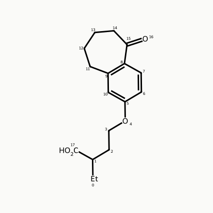 CCC(CCOc1ccc2c(c1)CCCCC2=O)C(=O)O